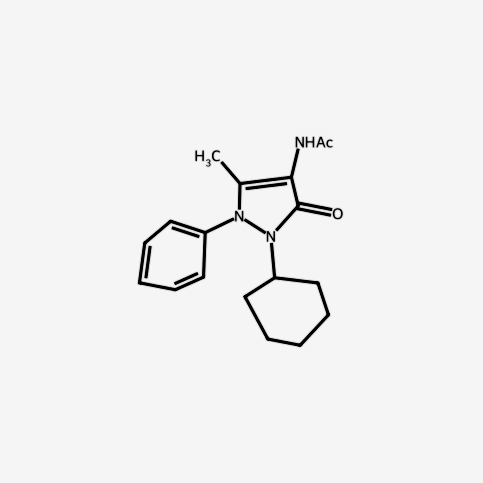 CC(=O)Nc1c(C)n(-c2ccccc2)n(C2CCCCC2)c1=O